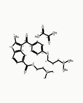 CCCCc1oc2ccc(C(=O)OCCN(C)C)cc2c1C(=O)c1ccc(OCCCN(CCCC)CCCC)cc1.O=C(O)C(=O)O